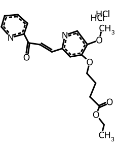 CCOC(=O)CCCOc1cc(C=CC(=O)c2ccccn2)ncc1OC.Cl.Cl